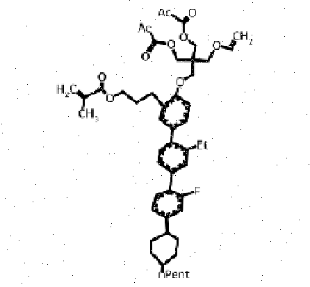 C=COCC(COC(=O)C(C)=O)(COC(=O)C(C)=O)COc1ccc(-c2ccc(-c3ccc(C4CCC(CCCCC)CC4)cc3F)cc2CC)cc1CCCOC(=O)C(=C)C